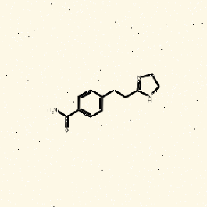 NC(=O)c1ccc(CCC2=NCCN2)cc1